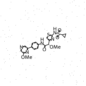 COc1cncc(-c2ccc(NC(=O)[C@@H](OC)c3csc(NS(=O)(=O)C4CC4)n3)cc2)n1